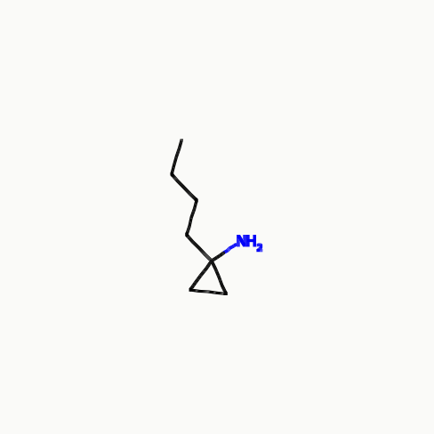 CCCCC1(N)CC1